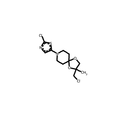 CC1(CCl)COC2(CCN(c3cnc(Cl)s3)CC2)O1